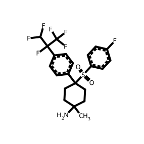 CC1(N)CCC(c2ccc(C(F)(C(F)F)C(F)(F)F)cc2)(S(=O)(=O)c2ccc(F)cc2)CC1